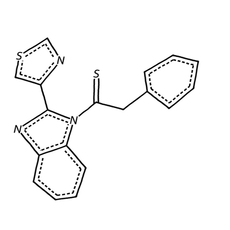 S=C(Cc1ccccc1)n1c(-c2cscn2)nc2ccccc21